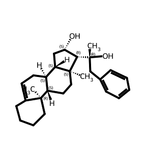 C[C@]12CC[C@H]3[C@@H](CC=C4CCCC[C@@]43C)[C@@H]1C[C@H](O)[C@@H]2[C@](C)(O)Cc1ccccc1